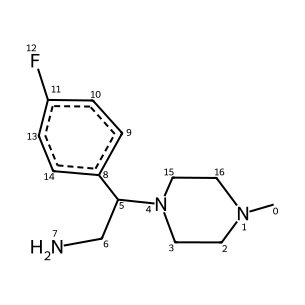 CN1CCN(C(CN)c2ccc(F)cc2)CC1